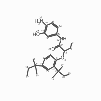 CCC(Oc1ccc(C(C)(C)CC)cc1C(C)(C)CC)C(=O)Nc1ccc(N)c(O)c1